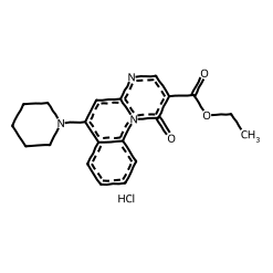 CCOC(=O)c1cnc2cc(N3CCCCC3)c3ccccc3n2c1=O.Cl